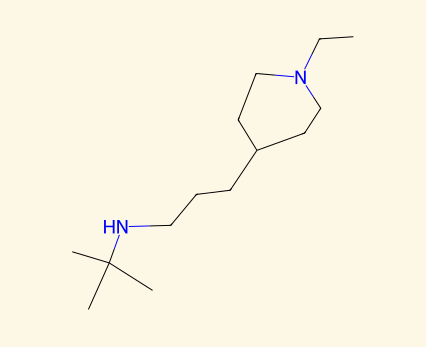 CCN1CCC(CCCNC(C)(C)C)CC1